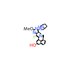 C#Cc1cccc2cc(O)cc(-c3ncc4c(N5CC6CCC(C5)N6)nc(OC)nc4c3F)c12